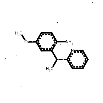 COc1ccc(N)c(C(C)c2ccccn2)c1